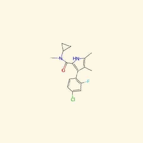 Cc1[nH]c(C(=O)N(C)C2CC2)c(-c2ccc(Cl)cc2F)c1C